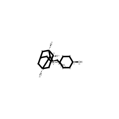 NC[C@]12CC3C[C@H](C1)[C@H](N[C@H]1CC[C@H](O)CC1)[C@@H](C3)C2